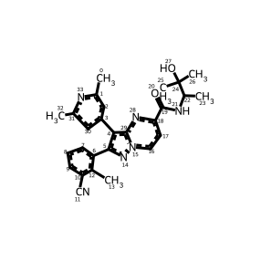 Cc1cc(-c2c(-c3cccc(C#N)c3C)nn3ccc(C(=O)NC(C)C(C)(C)O)nc23)cc(C)n1